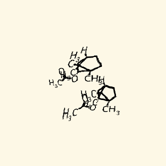 CC(=O)O[C@@H]1C[C@@H]2CC[C@@]1(C)C2(C)C.CC(=O)O[C@@H]1C[C@@H]2CC[C@@]1(C)C2(C)C